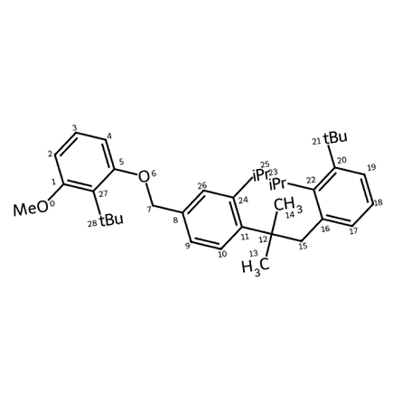 COc1cccc(OCc2ccc(C(C)(C)Cc3cccc(C(C)(C)C)c3C(C)C)c(C(C)C)c2)c1C(C)(C)C